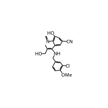 C=Nc1c(O)cc(C#N)cc1/C(NCc1ccc(OC)c(Cl)c1)=C(\C)CO